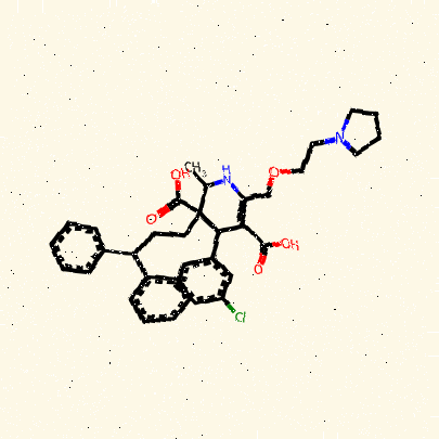 CC1NC(COCCN2CCCC2)=C(C(=O)O)C(c2cccc(Cl)c2)C1(CCC(c1ccccc1)c1ccccc1)C(=O)O